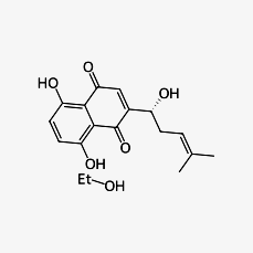 CC(C)=CC[C@@H](O)C1=CC(=O)c2c(O)ccc(O)c2C1=O.CCO